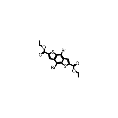 CCOC(=O)c1cc2c(Br)c3sc(C(=O)OCC)cc3c(Br)c2s1